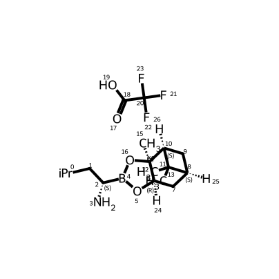 CC(C)C[C@@H](N)B1O[C@@H]2C[C@@H]3C[C@@H](C3(C)C)[C@]2(C)O1.O=C(O)C(F)(F)F